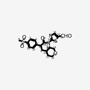 CS(=O)(=O)c1ccc(C(CC2CCOCC2)C(=O)Nc2ncc(C=O)s2)cc1